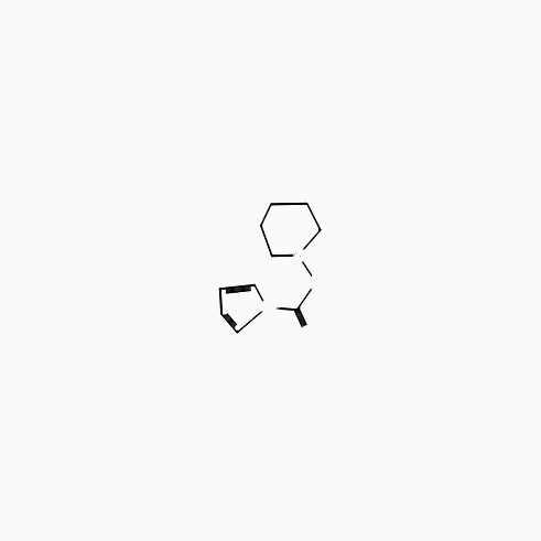 O=C(ON1CCCCC1)[SH]1C=CC=C1